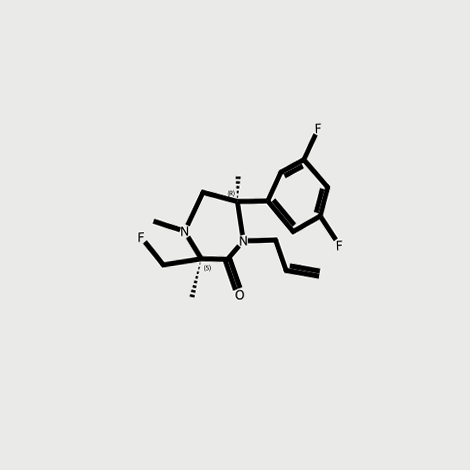 C=CCN1C(=O)[C@@](C)(CF)N(C)C[C@@]1(C)c1cc(F)cc(F)c1